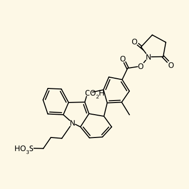 Cc1cc(C(=O)ON2C(=O)CCC2=O)cc(C)c1C1C=CC=C2C1=C(C(=O)O)c1ccccc1N2CCCS(=O)(=O)O